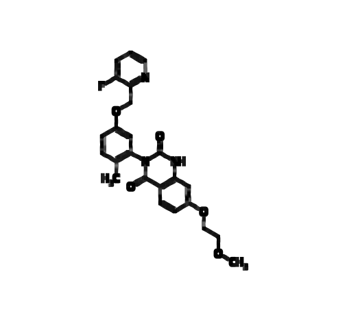 COCCOc1ccc2c(=O)n(-c3cc(OCc4ncccc4F)ccc3C)c(=O)[nH]c2c1